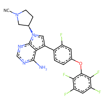 N#CN1CC[C@@H](n2cc(-c3ccc(Oc4c(F)c(F)cc(F)c4F)cc3F)c3c(N)ncnc32)C1